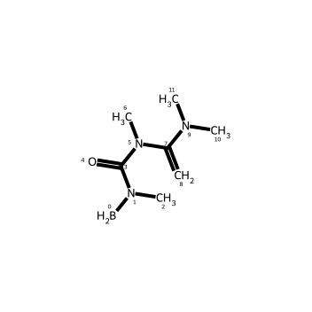 BN(C)C(=O)N(C)C(=C)N(C)C